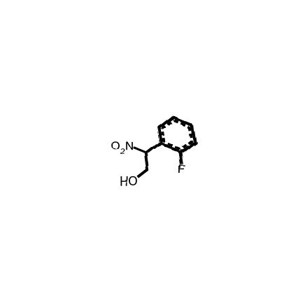 O=[N+]([O-])C(CO)c1ccccc1F